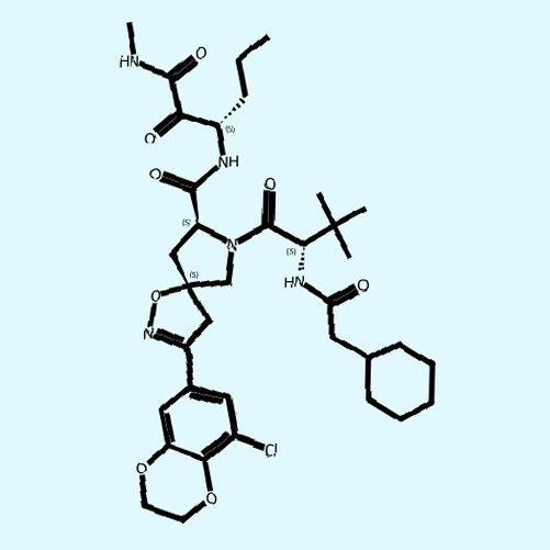 CCC[C@H](NC(=O)[C@@H]1C[C@]2(CC(c3cc(Cl)c4c(c3)OCCO4)=NO2)CN1C(=O)[C@@H](NC(=O)CC1CCCCC1)C(C)(C)C)C(=O)C(=O)NC